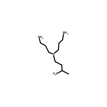 CC(N)CCN(CCCN)CCCN